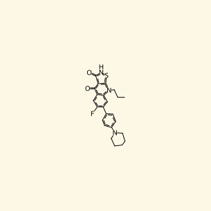 CCCn1c2cc(-c3ccc(N4CCCCC4)cc3)c(F)cc2c(=O)c2c(=O)[nH]sc21